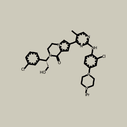 Cc1cnc(Nc2ccc(N3CCN(C(C)C)CC3)cc2Cl)nc1-c1cc2n(c1)CCN([C@H](CO)c1cccc(Cl)c1)C2=O